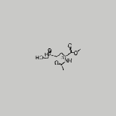 COC(=O)[C@H](CC[PH](=O)CO)NC(C)=O